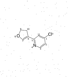 Clc1ccnc(C2=COCC2)c1